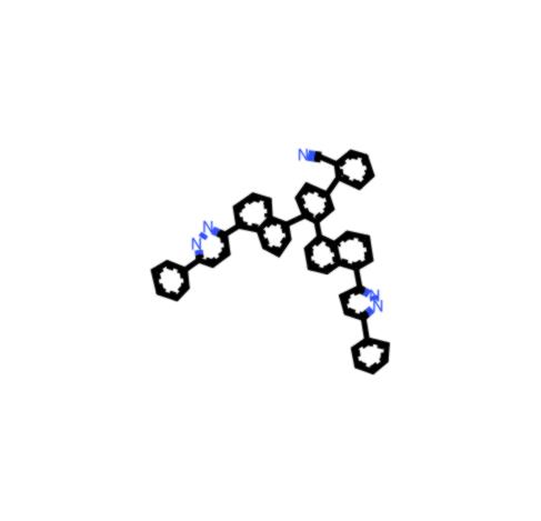 N#Cc1ccccc1-c1ccc(-c2cccc3c(-c4ccc(-c5ccccc5)nn4)cccc23)c(-c2cccc3c(-c4ccc(-c5ccccc5)nn4)cccc23)c1